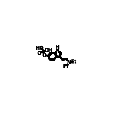 CCN(CCc1c[nH]c2cc(OP(=O)(O)O)ccc12)C(C)C